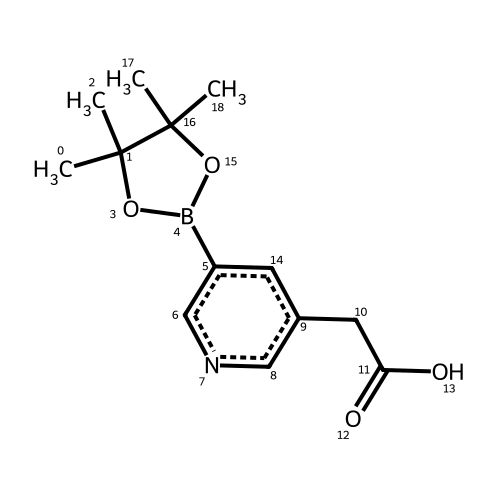 CC1(C)OB(c2cncc(CC(=O)O)c2)OC1(C)C